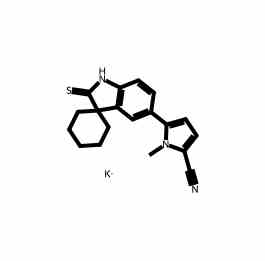 Cn1c(C#N)ccc1-c1ccc2c(c1)C1(CCCCC1)C(=S)N2.[K]